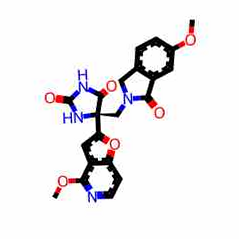 COc1ccc2c(c1)C(=O)N(C[C@@]1(c3cc4c(OC)nccc4o3)NC(=O)NC1=O)C2